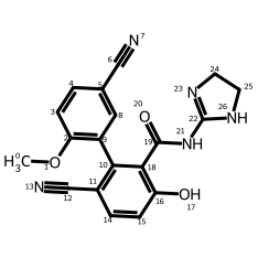 COc1ccc(C#N)cc1-c1c(C#N)ccc(O)c1C(=O)NC1=NCCN1